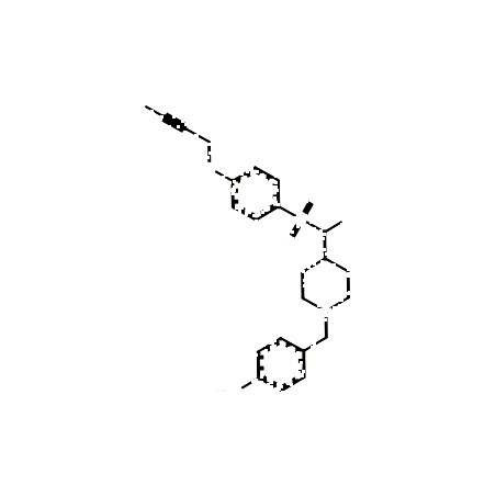 CC#CCOc1ccc(S(=O)(=O)C(C(=O)O)C2CCN(Cc3ccc(OC)cc3)CC2)cc1